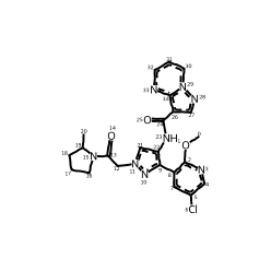 COc1ncc(Cl)cc1-c1nn(CC(=O)N2CCCC2C)cc1NC(=O)c1cnn2cccnc12